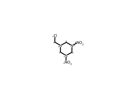 O=[N+]([O-])N1CN(CCl)CN([N+](=O)[O-])C1